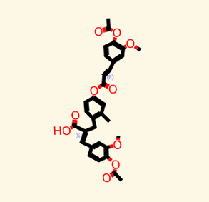 COc1cc(/C=C/C(=O)Oc2ccc(C/C(=C\c3ccc(OC(C)=O)c(OC)c3)C(=O)O)c(C)c2)ccc1OC(C)=O